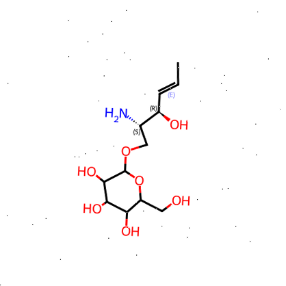 C/C=C/[C@@H](O)[C@@H](N)COC1OC(CO)C(O)C(O)C1O